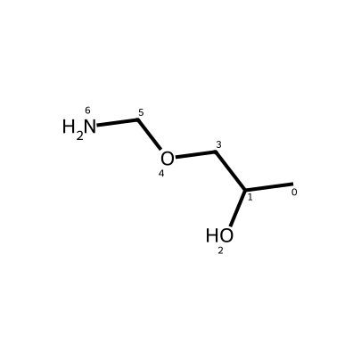 CC(O)COCN